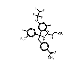 NC(=O)c1ccc(CC(NC(=O)NCC(F)(F)F)(c2cc(F)cc(OC(F)(F)C(F)F)c2)c2ccc(F)c(C(F)(F)F)c2)cc1